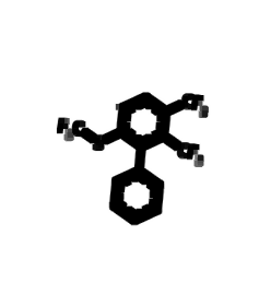 FC(F)(F)Sc1[c]cc(C(F)(F)F)c(C(F)(F)F)c1-c1ccccc1